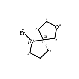 CCN1CCC[C@@]12CCOC2